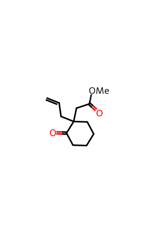 C=CCC1(CC(=O)OC)CCCCC1=O